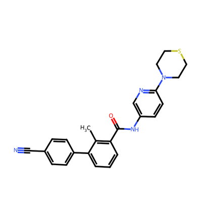 Cc1c(C(=O)Nc2ccc(N3CCSCC3)nc2)cccc1-c1ccc(C#N)cc1